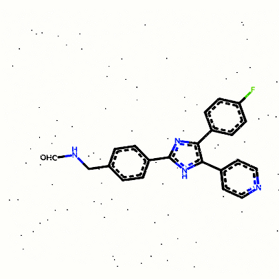 O=CNCc1ccc(-c2nc(-c3ccc(F)cc3)c(-c3ccncc3)[nH]2)cc1